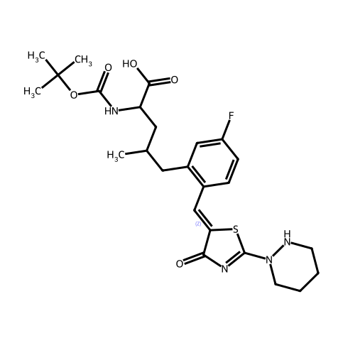 CC(Cc1cc(F)ccc1/C=C1\SC(N2CCCCN2)=NC1=O)CC(NC(=O)OC(C)(C)C)C(=O)O